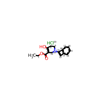 CCOC(=O)C1=C(O)CCN(C2=Cc3ccccc32)C1.Cl